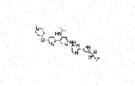 CC(C)Nc1cc(Nc2ccnc(-c3cnn(S(=O)(=O)C4CC4)c3)n2)ncc1-c1ccc(OC2CCN(C)CC2)cn1